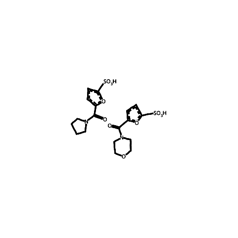 O=C(c1ccc(S(=O)(=O)O)o1)N1CCCC1.O=C(c1ccc(S(=O)(=O)O)o1)N1CCOCC1